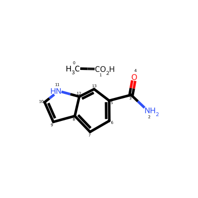 CC(=O)O.NC(=O)c1ccc2cc[nH]c2c1